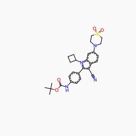 CC(C)(C)OC(=O)Nc1ccc(-c2c(C#N)c3ccc(N4CCS(=O)(=O)CC4)cc3n2C2CCC2)cc1